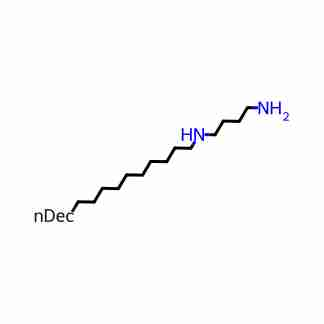 CCCCCCCCCCCCCCCCCCCCNCCCCN